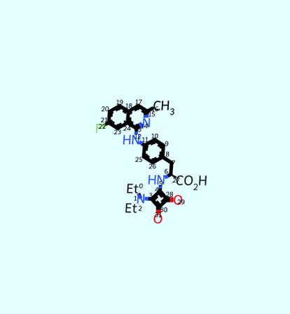 CCN(CC)c1c(N[C@@H](Cc2ccc(Nc3nc(C)cc4ccc(F)cc34)cc2)C(=O)O)c(=O)c1=O